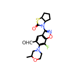 CC1CN(c2c(C=O)cc3c(N4C(=O)SC5CCCC54)noc3c2F)CCO1